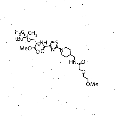 COCCOCC(=O)NCC1CCN(c2nc(C(=O)N[C@@H](CO[Si](C)(C)C(C)(C)C)C(=O)OC)cs2)CC1